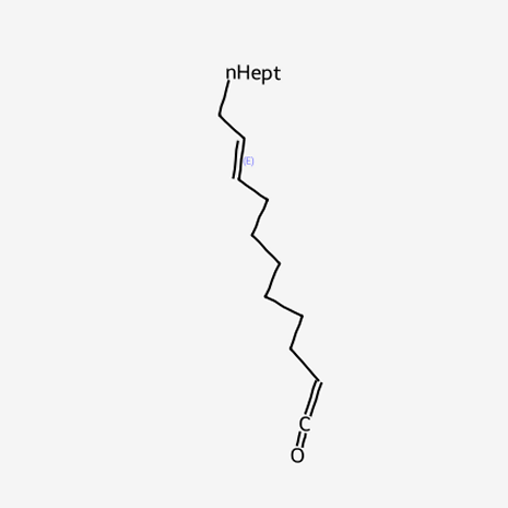 CCCCCCCC/C=C/CCCCCCC=C=O